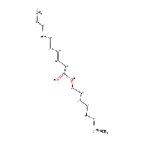 C=CCCCCCCOC(=O)CCCCCCCCC